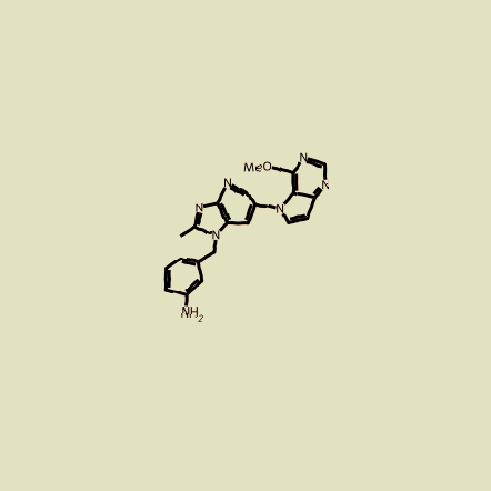 COc1ncnc2ccn(-c3cnc4nc(C)n(Cc5cccc(N)c5)c4c3)c12